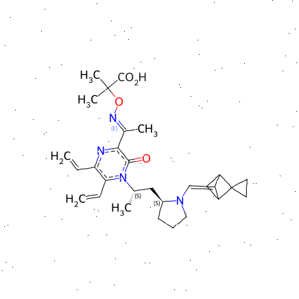 C=Cc1nc(/C(C)=N/OC(C)(C)C(=O)O)c(=O)n([C@@H](C)C[C@@H]2CCCN2C=C2C3CC2C32CC2)c1C=C